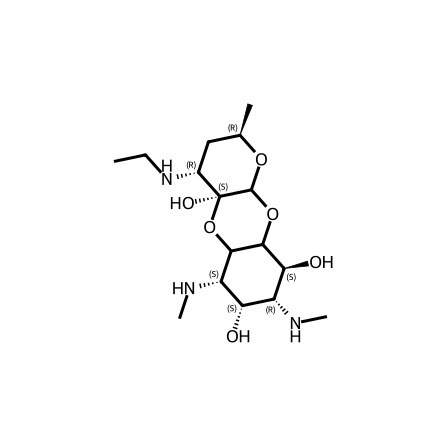 CCN[C@@H]1C[C@@H](C)OC2OC3C(O[C@]21O)[C@@H](NC)[C@@H](O)[C@@H](NC)[C@@H]3O